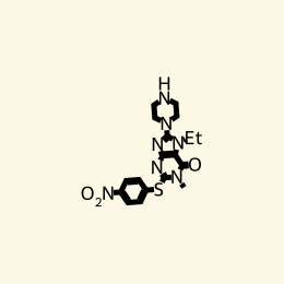 CCn1c(N2CCNCC2)nc2nc(Sc3ccc([N+](=O)[O-])cc3)n(C)c(=O)c21